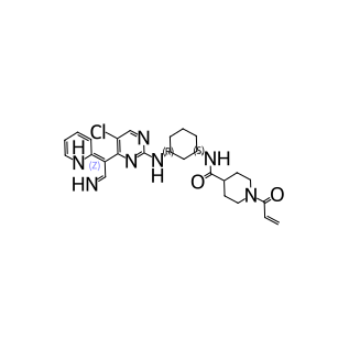 C=CC(=O)N1CCC(C(=O)N[C@H]2CCC[C@@H](Nc3ncc(Cl)c(/C(C=N)=C4\C=CC=CN4)n3)C2)CC1